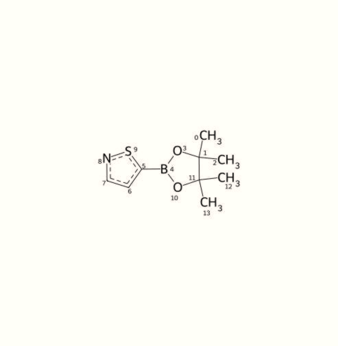 CC1(C)OB(c2ccns2)OC1(C)C